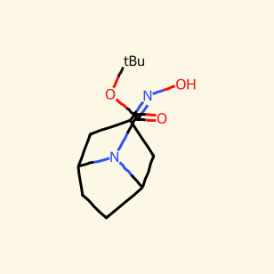 CC(C)(C)OC(=O)N1C2CCC1CC(=NO)C2